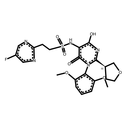 COc1cccc(OC)c1-n1c([C@@H]2CCOC2)nc(O)c(NS(=O)(=O)CCc2ncc(F)cn2)c1=O